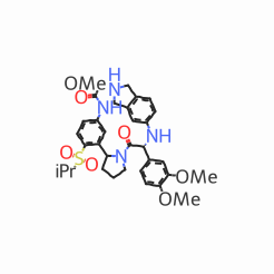 COC(=O)Nc1ccc(S(=O)(=O)C(C)C)c(C2CCCN2C(=O)[C@H](Nc2ccc3c(c2)CNC3)c2ccc(OC)c(OC)c2)c1